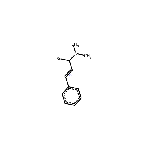 CN(C)C(Br)/C=C/c1ccccc1